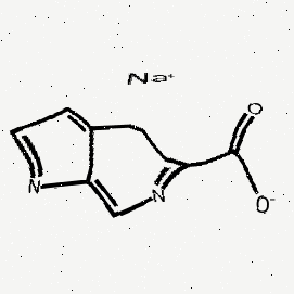 O=C([O-])C1=NC=C2N=CC=C2C1.[Na+]